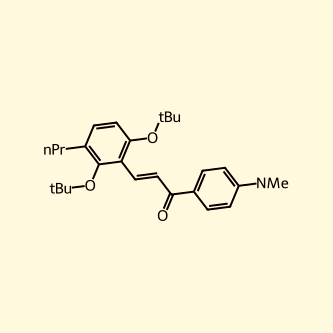 CCCc1ccc(OC(C)(C)C)c(/C=C/C(=O)c2ccc(NC)cc2)c1OC(C)(C)C